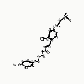 CN(C)CCOc1ccc(C=CC(=O)CC(=O)CCc2ccc(O)cc2)c(Cl)c1